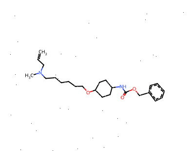 C=CCN(C)CCCCCCOC1CCC(NC(=O)OCc2ccccc2)CC1